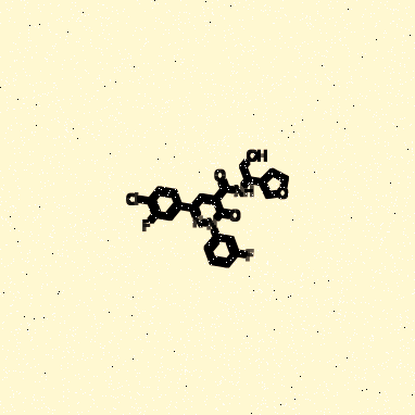 O=C(NC(CO)C1CCOC1)c1cc(-c2ccc(Cl)c(F)c2)nn(-c2cccc(F)c2)c1=O